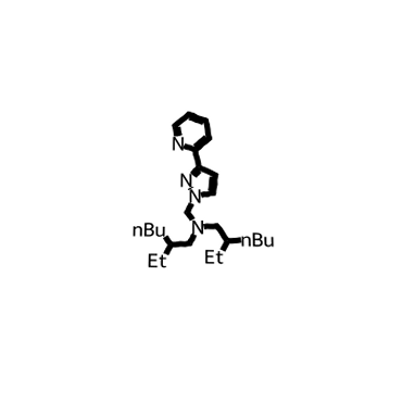 CCCCC(CC)CN(CC(CC)CCCC)Cn1ccc(-c2ccccn2)n1